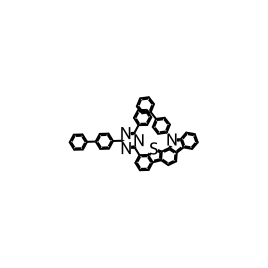 c1ccc(-c2ccc(-c3nc(-c4ccccc4)nc(-c4cccc5c4sc4c5ccc5c6ccccc6n(-c6ccc(-c7ccccc7)cc6)c54)n3)cc2)cc1